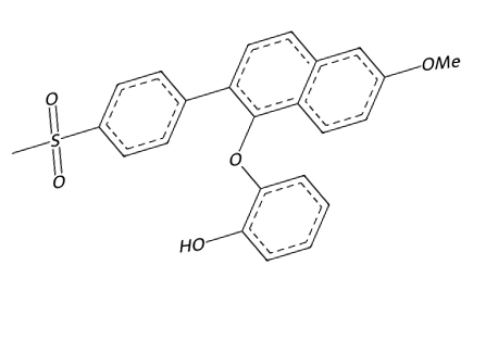 COc1ccc2c(Oc3ccccc3O)c(-c3ccc(S(C)(=O)=O)cc3)ccc2c1